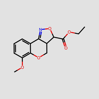 CCOC(=O)C1ON=C2c3cccc(OC)c3OCC21